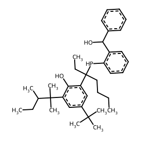 CCCCC(CC)(Pc1ccccc1C(O)c1ccccc1)c1cc(C(C)(C)C)cc(C(C)(C)C(C)CC)c1O